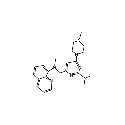 CN1CCN(c2cc(CN(C)c3cccc4cccnc34)nc(N(C)C)n2)CC1